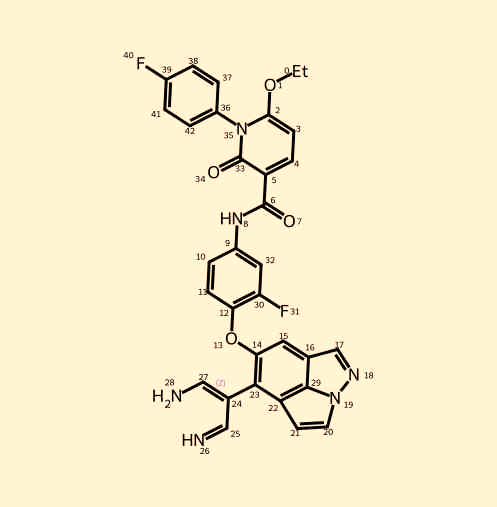 CCOc1ccc(C(=O)Nc2ccc(Oc3cc4cnn5ccc(c3/C(C=N)=C/N)c45)c(F)c2)c(=O)n1-c1ccc(F)cc1